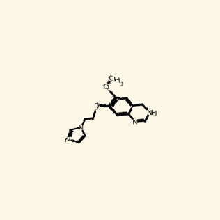 COc1cc2c(cc1OCCn1ccnc1)N=CNC2